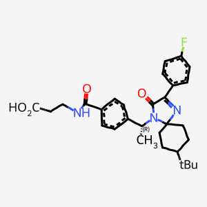 C[C@H](c1ccc(C(=O)NCCC(=O)O)cc1)N1C(=O)C(c2ccc(F)cc2)=NC12CCC(C(C)(C)C)CC2